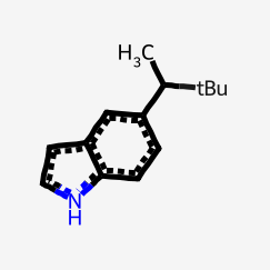 CC(c1ccc2[nH]ccc2c1)C(C)(C)C